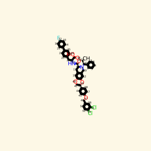 CC[C@@H](c1ccccc1)N1Cc2cc3c(cc2C[C@H]1C(=O)NC(Cc1ccc(-c2ccc(F)cc2)cc1)C(=O)O)OC[C@H](c1ccc(OCc2ccc(Cl)c(Cl)c2)cc1)O3